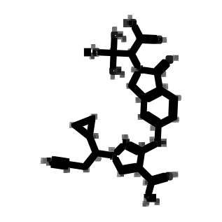 CC(C)(C)C(C(=O)O)N1Cc2cc(Nc3nn(C(CC#N)C4CC4)cc3C(N)=O)ccc2C1=O